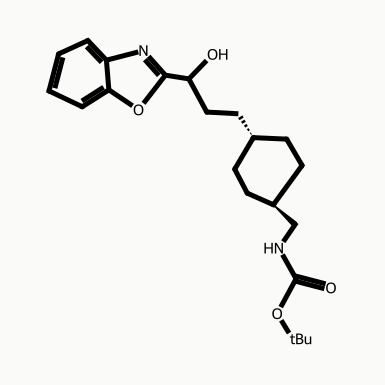 CC(C)(C)OC(=O)NC[C@H]1CC[C@H](CCC(O)c2nc3ccccc3o2)CC1